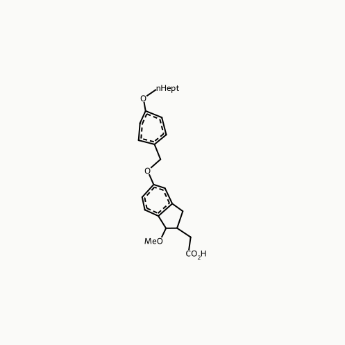 CCCCCCCOc1ccc(COc2ccc3c(c2)CC(CC(=O)O)C3OC)cc1